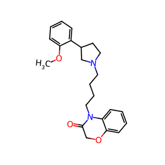 COc1ccccc1C1CCN(CCCCN2C(=O)COc3ccccc32)C1